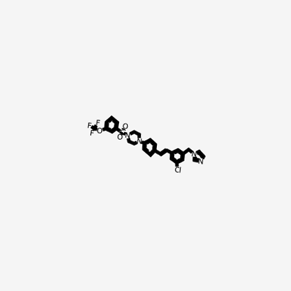 O=S(=O)(c1cccc(OC(F)(F)F)c1)N1CCN(c2ccc(/C=C/c3cc(Cl)cc(Cn4ccnc4)c3)cc2)CC1